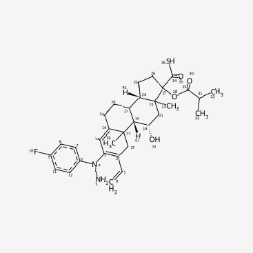 C=CC1=C(N(N)c2ccc(F)cc2)C=C2CCC3[C@H]([C@@H](O)CC4(C)[C@H]3CCC4(OC(=O)C(C)C)C(=O)S)C2(C)C1